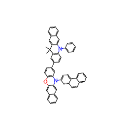 CC1(C)c2cc(-c3ccc4c(c3)N(c3ccc5c(ccc6ccccc65)c3)c3cc5ccccc5cc3O4)ccc2N(c2ccccc2)c2cc3ccccc3cc21